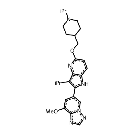 COc1cc(-c2[nH]c3ccc(OCC4CCN(C(C)C)CC4)nc3c2C(C)C)cn2ncnc12